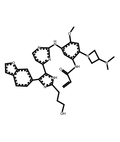 C=CC(=O)Nc1cc(Nc2nccc(-c3[nH]c(CCCO)nc3-c3ccc4ccoc4c3)n2)c(OC)cc1N1CC(N(C)C)C1